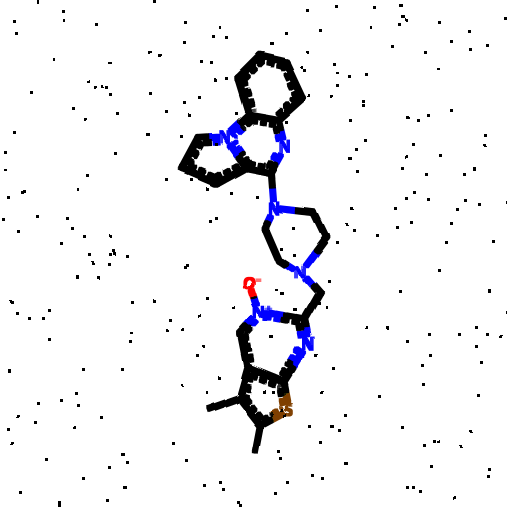 Cc1sc2nc(CN3CCN(c4nc5ccccc5n5cccc45)CC3)[n+]([O-])cc2c1C